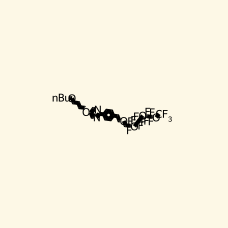 CCCCOCCCCOc1cnc(-c2ccc(CCOCC(F)(F)OC(F)(F)C(F)(F)OC(F)(F)C(F)(F)OC(F)(F)F)cc2)nc1